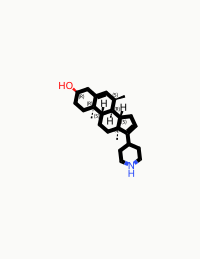 C[C@@H]1C=C2C[C@H](O)CC[C@]2(C)[C@H]2CC[C@]3(C)C(C4CCNCC4)=CC[C@H]3[C@H]12